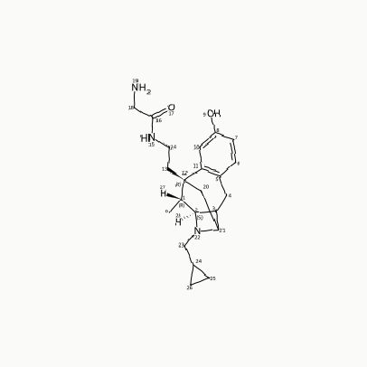 C[C@H]1[C@H]2C3Cc4ccc(O)cc4[C@]1(CCNC(=O)CN)CC3N2CC1CC1